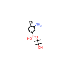 CC(C)(O)C(C)(C)OB(O)c1ccc(C#N)c(N)c1